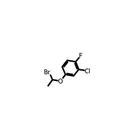 CC(Br)Oc1ccc(F)c(Cl)c1